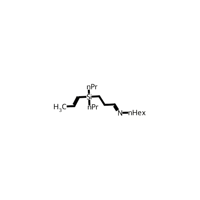 CC=C[Si](CCC)(CCC)CCC=NCCCCCC